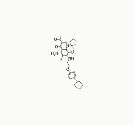 CC(=O)c1cn2c3c(c(NCCOc4ccc(C5CCCCC5)cc4)c(F)c(N)c3c1=O)OCC21CCCC1